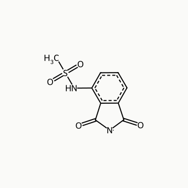 CS(=O)(=O)Nc1cccc2c1C(=O)[N]C2=O